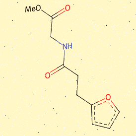 COC(=O)CNC(=O)CCc1ccco1